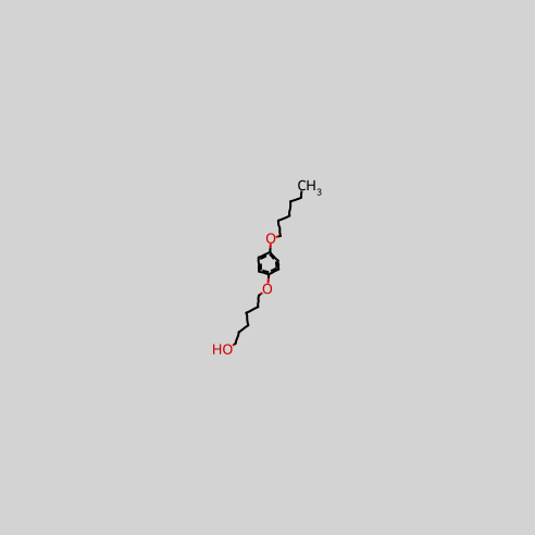 CCCCCCOc1ccc(OCCCCCCO)cc1